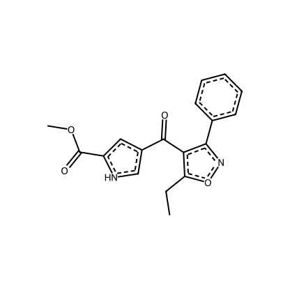 CCc1onc(-c2ccccc2)c1C(=O)c1c[nH]c(C(=O)OC)c1